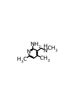 CNCc1c(C)cc(C)nc1N